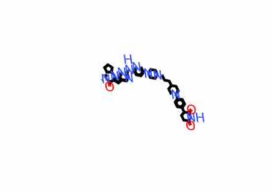 CN(C)C(=O)c1cc2cnc(Nc3ccc(N4CCN(CCCC5CCN(c6ccc(C7CCC(=O)NC7=O)cc6)CC5)CC4)cn3)nc2n1C1CCCC1